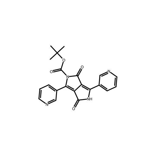 CC(C)(C)OC(=O)N1C(=O)C2=C(c3cccnc3)NC(=O)C2=C1c1cccnc1